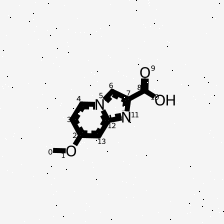 COc1ccn2cc(C(=O)O)nc2c1